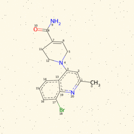 Cc1cc(N2CC=C(C(N)=O)CC2)c2cccc(Br)c2n1